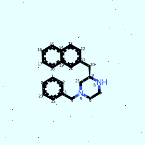 c1ccc(CN2CCN[C@H](Cc3ccc4ccccc4c3)C2)cc1